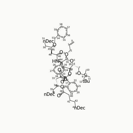 C=CCO[C@H]1O[C@H](CO[Si](C)(C)C(C)(C)C)[C@@H](OP(=O)(c2ccccc2)c2ccccc2)[C@H](OC(=O)C[C@@H](CCCCCCCCCCC)OC(=O)CCCCCCCCCCCCC)[C@H]1NC(=O)C[C@@H](CCCCCCCCCCC)OCc1ccccc1